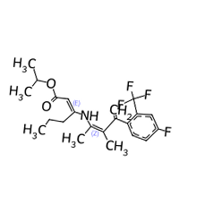 C=C(/C(C)=C(/C)N/C(=C/C(=O)OC(C)C)CCC)c1ccc(F)cc1C(F)(F)F